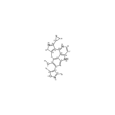 COc1cc2c(cc1-c1c(C)noc1C)[nH]c1ccnc(C3=C(C)CN=C3C3CC3)c12